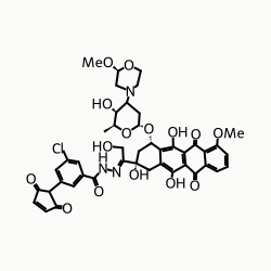 COc1cccc2c1C(=O)c1c(O)c3c(c(O)c1C2=O)C[C@@](O)(/C(CO)=N/NC(=O)c1cc(Cl)cc(C2C(=O)C=CC2=O)c1)C[C@@H]3O[C@H]1CC(N2CCO[C@H](OC)C2)[C@H](O)[C@H](C)O1